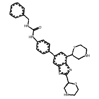 O=C(NCc1ccccc1)Nc1ccc(-c2cc(C3CNCCS3)c3nc(C4CNCCO4)sc3c2)cc1